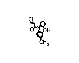 Cc1ccc(N(C(=O)CCCl)C2CCCC2O)cc1